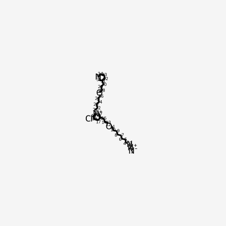 [Cl-].[N-]=[N+]=NCCCCCCCCOCCCc1ccc[n+](CCCCCCOCCCc2cccnc2)c1